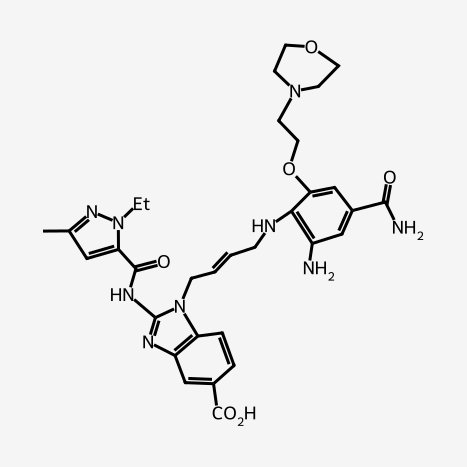 CCn1nc(C)cc1C(=O)Nc1nc2cc(C(=O)O)ccc2n1CC=CCNc1c(N)cc(C(N)=O)cc1OCCN1CCOCC1